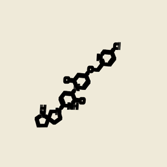 O=c1[nH]c(N2CCC3(CCCN3)C2)ccc1-n1ccc(OCc2ccc(Cl)cn2)cc1=O